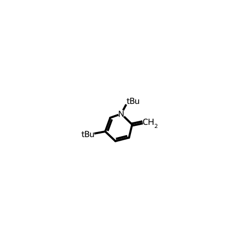 C=C1C=CC(C(C)(C)C)=CN1C(C)(C)C